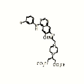 CCOC(=O)CC(CC(=O)OCC)N1CCN(CCOc2cc3ncnc(Nc4cccc(Br)c4)c3cc2OC)CC1